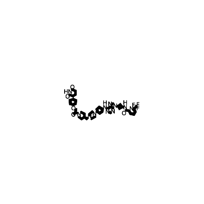 O=C1CC[C@@H](c2ccc(OCC(=O)N3CCC(CN4CCN(c5ccc(Nc6ncnc7c6ncn7C6CC(NC(=O)c7cccc(C(F)(F)F)n7)C6)cc5)CC4)CC3)cc2)C(=O)N1